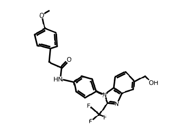 COc1ccc(CC(=O)Nc2ccc(-n3c(C(F)(F)F)nc4cc(CO)ccc43)cc2)cc1